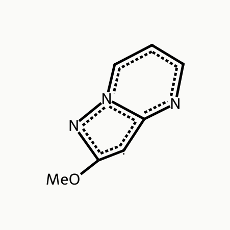 COc1[c]c2ncccn2n1